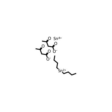 CC(=O)CC(=O)[O-].CC(=O)CC(=O)[O-].CCC[CH2][Sn+2][CH2]CCC.[Sn+4]